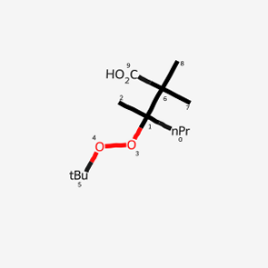 CCCC(C)(OOC(C)(C)C)C(C)(C)C(=O)O